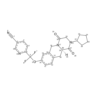 N#Cc1ccc(C(F)(F)Oc2ccc3c(c2)CN2C(=O)CN(C4CCCC4)C(=O)[C@H]2C3)nc1